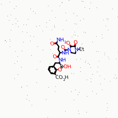 CCN1CCN(C(=O)NC(CCC(N)=O)C(=O)NC2Cc3cccc(C(=O)O)c3OB2O)C(=O)C1=O